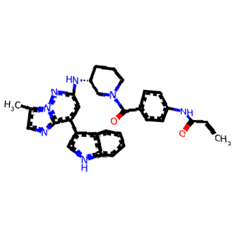 C=CC(=O)Nc1ccc(C(=O)N2CCC[C@@H](Nc3cc(-c4c[nH]c5ccccc45)c4ncc(C)n4n3)C2)cc1